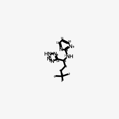 CC(C)(C)CCC(Nc1ncccn1)c1nn[nH]n1